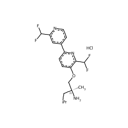 CC(C)C[C@](C)(N)COc1ccc(-c2ccnc(C(F)F)c2)nc1C(F)F.Cl